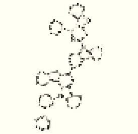 c1ccc(-c2cccc(-n3c4ccccc4c4cc(-c5ccc6c(c5)c5ccccc5n6-c5nc(-c6ccccc6)c6c(n5)oc5ccccc56)c5sc6ccccc6c5c43)c2)cc1